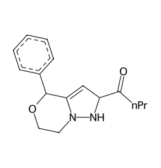 CCCC(=O)C1C=C2C(c3ccccc3)OCCN2N1